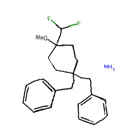 COC1(C(F)F)CCC(Cc2ccccc2)(Cc2ccccc2)CC1.N